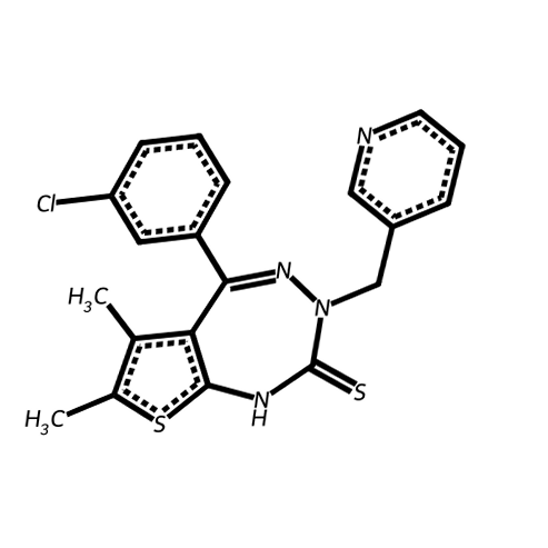 Cc1sc2c(c1C)C(c1cccc(Cl)c1)=NN(Cc1cccnc1)C(=S)N2